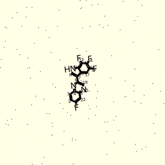 Fc1ccc2nc(-c3c[nH]c4c(F)c(F)c(F)cc34)cnc2c1